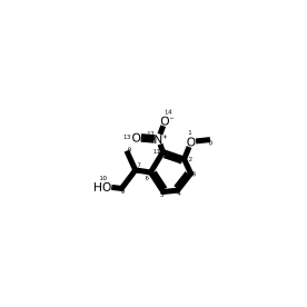 COc1cccc([C](C)CO)c1[N+](=O)[O-]